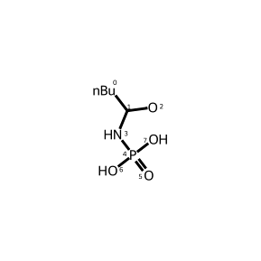 CCCCC([O])NP(=O)(O)O